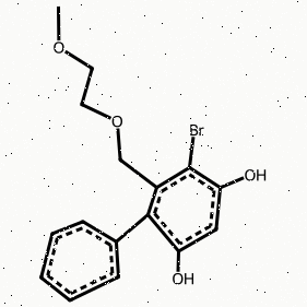 COCCOCc1c(Br)c(O)cc(O)c1-c1ccccc1